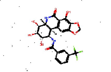 O=C(N[C@H]1[C@H](O)[C@@H](O)[C@@H](O)[C@@H]2NC(=O)c3c(cc4c(c3O)OCO4)[C@@H]12)c1cccc(C(F)(F)F)c1